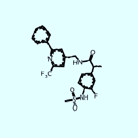 CC(C(=O)NCc1cc(-c2ccccc2)nc(C(F)(F)F)c1)c1ccc(NS(C)(=O)=O)c(F)c1